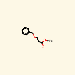 CCCCOC(=O)CCOCc1ccccc1